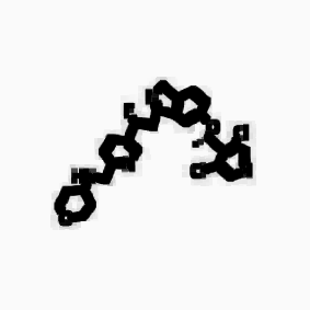 C[C@H](Oc1ccc2c(c1)C(/C=C(\F)c1ccc(CNC3CCOCC3)nc1)=NC2)c1c(Cl)cncc1Cl